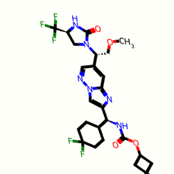 COC[C@H](c1cnn2cc([C@@H](NC(=O)OC3CC(F)(F)C3)C3CCC(F)(F)CC3)nc2c1)N1C[C@@H](C(F)(F)F)NC1=O